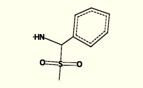 CS(=O)(=O)C([NH])c1ccccc1